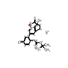 CC(C)(C)OC(=O)Nc1ccc(Cl)cc1-c1cc2c([n+]([O-])c1)C(O)(C(=O)[O-])CC2.[Li+]